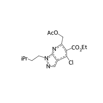 CCOC(=O)c1c(COC(C)=O)nc2c(cnn2CCC(C)C)c1Cl